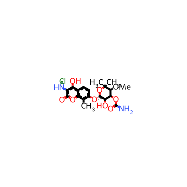 COC1C(OC(N)=O)C(O)[C@H](Oc2ccc3c(O)c(NCl)c(=O)oc3c2C)OC1(C)C